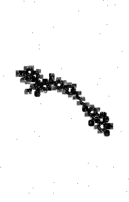 C=CCn1c(=O)c2cnc(Nc3ccc(N4CCN(CCCCCOc5ccc6c(c5)C(=O)N(C5CCC(=O)NC5=O)C6=O)CC4)cc3)nc2n1-c1ccc2c(n1)[C@@](O)(C(=C)C)CC2